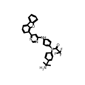 CC(C)(N)c1ccc(N(C(=O)C(F)(F)F)c2ccc(Nc3cc(-c4cccc5c4oc4ccccc45)ncn3)cc2)cc1